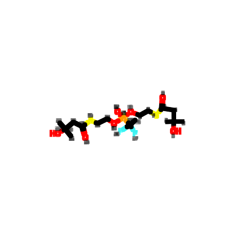 CC(C)(O)CC(=O)SCCOP(=O)(OCCSC(=O)CC(C)(C)O)C(C)(F)F